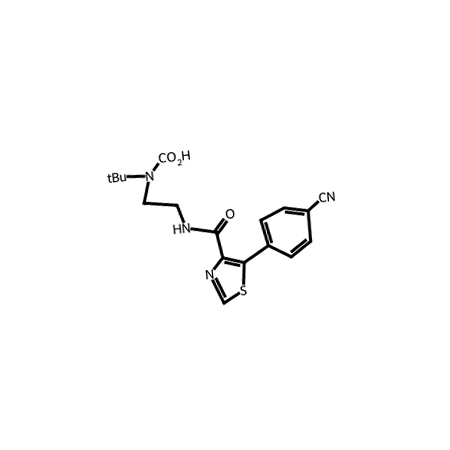 CC(C)(C)N(CCNC(=O)c1ncsc1-c1ccc(C#N)cc1)C(=O)O